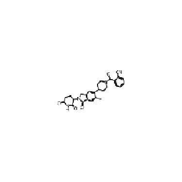 N#Cc1ccccc1C(=O)N1CCC(c2cc3c(cc2F)C(=O)N(C2CCC(=O)NC2=O)C3)CC1